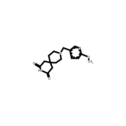 COc1ccc(CN2CCC3(CC2)CC(=O)NC(=O)C3)cn1